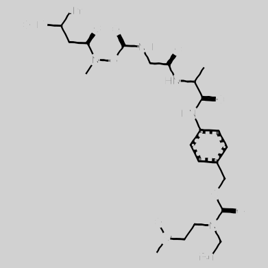 CCC(C)CN(CC[S+](C)[O-])C(=O)OCc1ccc(NC(=O)C(C)NC(=O)CNC(=O)ON(C)C(=O)CC(C=O)C(C)C)cc1